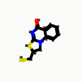 O=c1nc2n(c3ccccc13)CC(CS)S2